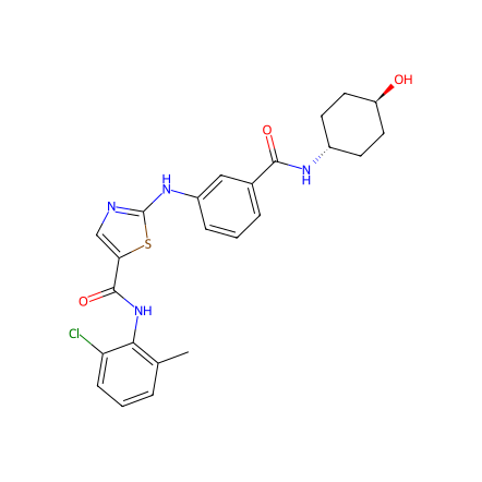 Cc1cccc(Cl)c1NC(=O)c1cnc(Nc2cccc(C(=O)N[C@H]3CC[C@H](O)CC3)c2)s1